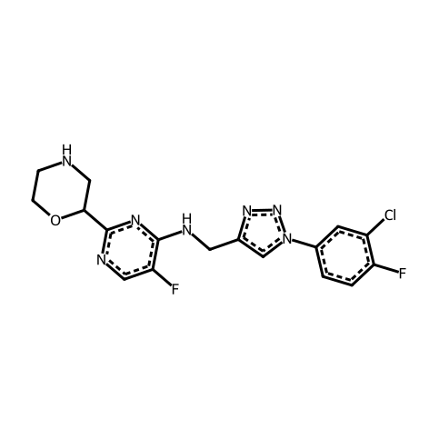 Fc1ccc(-n2cc(CNc3nc(C4CNCCO4)ncc3F)nn2)cc1Cl